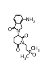 CP(C)(=O)CCN1C(=O)CCC(N2Cc3c(N)cccc3C2=O)C1=O